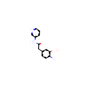 Nc1ccc(CC(=O)Nc2cccnc2)cc1O